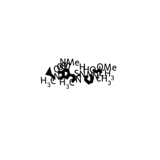 CNS(=O)(=O)c1cc(-c2sc(Nc3cccc(N(C)C(O)[C@H](C)OC)n3)nc2C)cc2c1C(=O)N([C@@H](C)C1CC1)C2